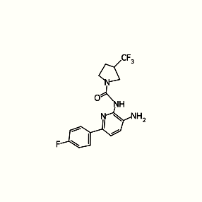 Nc1ccc(-c2ccc(F)cc2)nc1NC(=O)N1CCC(C(F)(F)F)C1